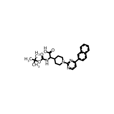 CC(C)(C)OC(=O)NC(C(=O)O)C1CCN(c2nccc(-c3ccc4ccccc4c3)n2)CC1